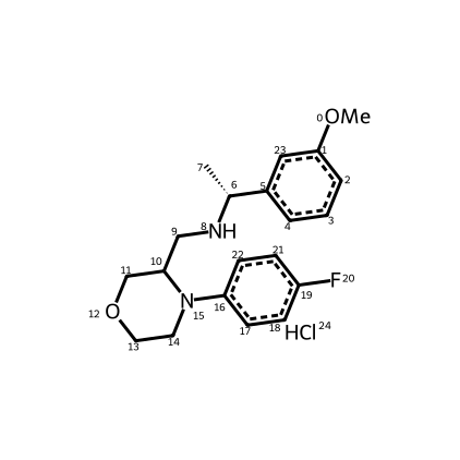 COc1cccc([C@@H](C)NCC2COCCN2c2ccc(F)cc2)c1.Cl